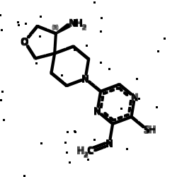 C=Nc1nc(N2CCC3(CC2)COC[C@H]3N)cnc1S